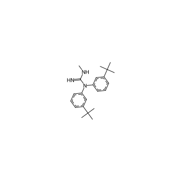 CNC(=N)N(c1cccc(C(C)(C)C)c1)c1cccc(C(C)(C)C)c1